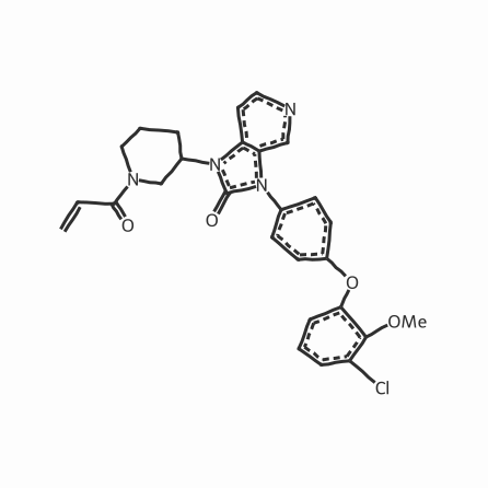 C=CC(=O)N1CCCC(n2c(=O)n(-c3ccc(Oc4cccc(Cl)c4OC)cc3)c3cnccc32)C1